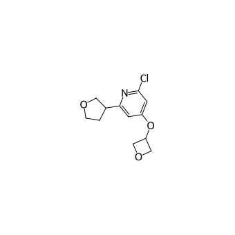 Clc1cc(OC2COC2)cc(C2CCOC2)n1